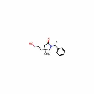 C[C@H](c1ccccc1)N1C[C@](C=O)(CCCO)CC1=O